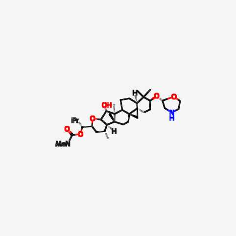 CNC(=O)O[C@H](C(C)C)C1C[C@@H](C)[C@H]2C(O1)[C@H](O)[C@@]1(C)C3CC[C@H]4C(C)(C)[C@@H](O[C@H]5CNCCO5)CC[C@@]45C[C@@]35CC[C@]21C